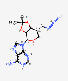 CC1(C)OC2C(O1)[C@H](CN=[N+]=[N-])COC2n1cnc2c(N)ncnc21